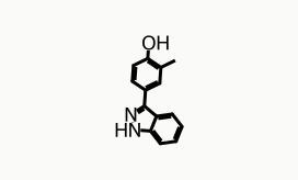 Cc1cc(-c2n[nH]c3ccccc23)ccc1O